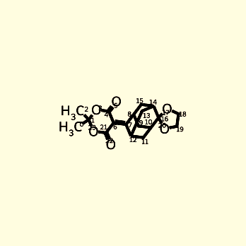 CC1(C)OC(=O)C(=C2C3CC4CC2CC(C3)C42OCCO2)C(=O)O1